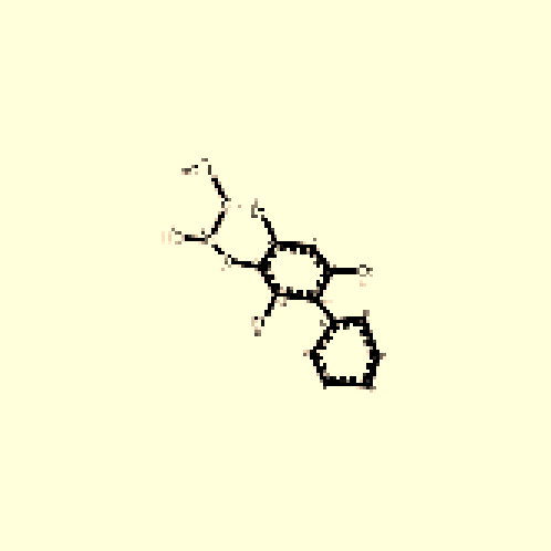 CCCCCCCCOP(O)Oc1c(CC)cc(CC)c(-c2ccccc2)c1CC